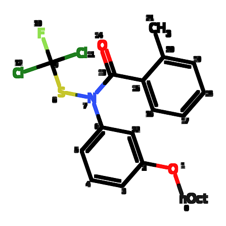 CCCCCCCCOc1cccc(N(SC(F)(Cl)Cl)C(=O)c2ccccc2C)c1